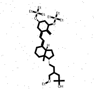 C=C1/C(=C\C=C2/CCCC3(C)[C@@H](CCC(COCC)CC(C)(C)O)CC[C@@H]23)C[C@@H](O[Si](CC)(CC)CC)CC1O[Si](CC)(CC)CC